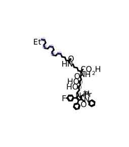 CC/C=C\C/C=C\C/C=C\C/C=C\C/C=C\CCCC(=O)NCCCCC(NC(=O)C[C@H](O)C[C@H](O)CCn1c(-c2ccc(F)cc2)c(-c2ccccc2)c(C(=O)Nc2ccccc2)c1C(C)C)C(=O)O